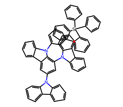 c1ccc([Si](c2ccccc2)(c2ccccc2)c2ccccc2-c2cccc(-n3c4ccccc4c4cc(-n5c6ccccc6c6ccccc65)cc(-n5c6ccccc6c6ccccc65)c43)c2)cc1